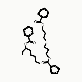 CCCCCC(CC)OC(=O)c1ccccc1.O=C(OCCCOCCCOC(=O)c1ccccc1)c1ccccc1